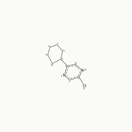 Clc1cnc(C2CCCCC2)cn1